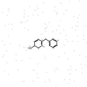 OC1C=CC(Cc2ccccc2)=NC1